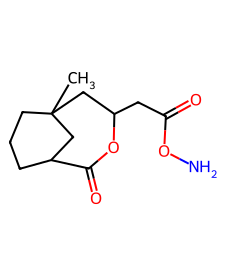 CC12CCCC(C1)C(=O)OC(CC(=O)ON)C2